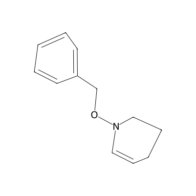 C1=CN(OCc2ccccc2)CCC1